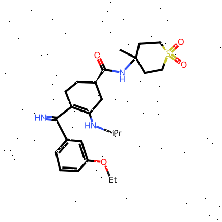 CCOc1cccc(C(=N)C2=C(NC(C)C)C[C@H](C(=O)NC3(C)CCS(=O)(=O)CC3)CC2)c1